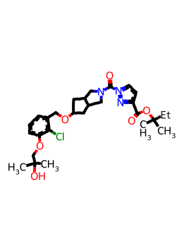 CCC(C)(C)OC(=O)c1ccn(C(=O)N2CC3CC(OCc4cccc(OCC(C)(C)O)c4Cl)CC3C2)n1